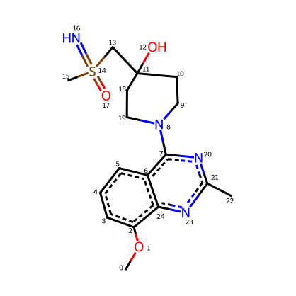 COc1cccc2c(N3CCC(O)(CS(C)(=N)=O)CC3)nc(C)nc12